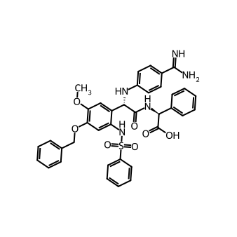 COc1cc([C@H](Nc2ccc(C(=N)N)cc2)C(=O)N[C@H](C(=O)O)c2ccccc2)c(NS(=O)(=O)c2ccccc2)cc1OCc1ccccc1